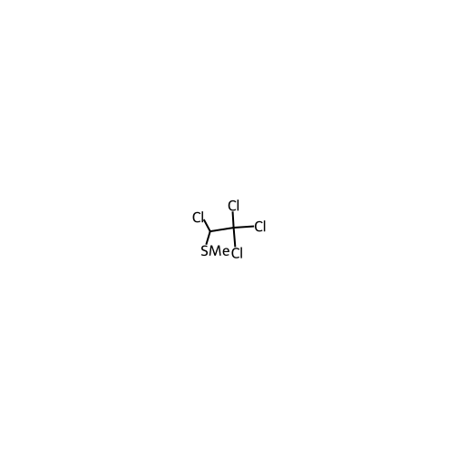 CSC(Cl)C(Cl)(Cl)Cl